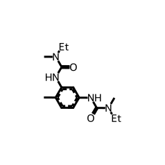 CCN(C)C(=O)Nc1ccc(C)c(NC(=O)N(C)CC)c1